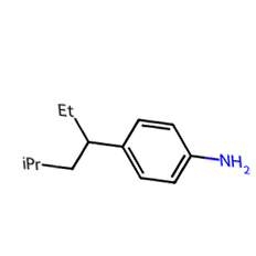 CCC(CC(C)C)c1ccc(N)cc1